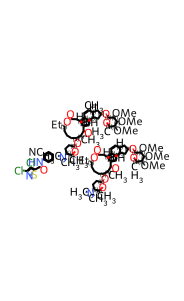 CC[C@H]1CCC[C@H](O[C@H]2CC[C@H](N(C)C)[C@@H](C)O2)[C@@H](C)C(=O)C2=C[C@@H]3[C@@H](C=C(C)[C@@H]4C[C@@H](O[C@@H]5O[C@@H](C)[C@H](OC)[C@@H](OC)[C@H]5OC)C[C@@H]34)[C@@H]2CC(=O)O1.CC[C@H]1CCC[C@H](O[C@H]2CC[C@H](N(C)C)[C@@H](C)O2)[C@@H](C)C(=O)C2=C[C@@H]3[C@@H](C=C[C@@H]4C[C@@H](O[C@@H]5O[C@@H](C)[C@H](OC)[C@@H](OC)[C@H]5OC)C[C@@H]34)[C@@H]2CC(=O)O1.N#Cc1ccccc1NC(=O)c1snc(Cl)c1Cl